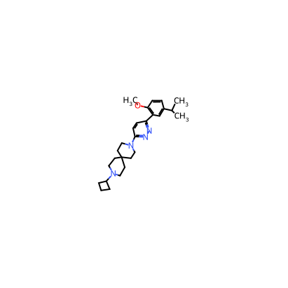 COc1ccc(C(C)C)cc1-c1ccc(N2CCC3(CC2)CCN(C2CCC2)CC3)nn1